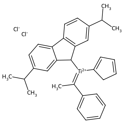 C/[C](c1ccccc1)=[Ti+2](/[C]1=CC=CC1)[CH]1c2cc(C(C)C)ccc2-c2ccc(C(C)C)cc21.[Cl-].[Cl-]